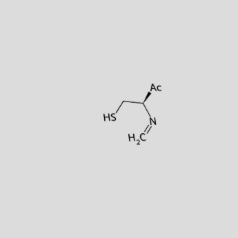 C=N[C@@H](CS)C(C)=O